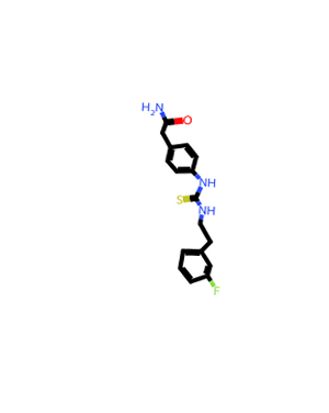 NC(=O)Cc1ccc(NC(=S)NCCc2cccc(F)c2)cc1